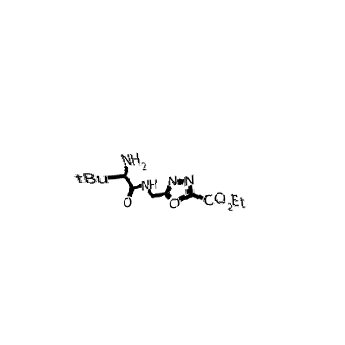 CCOC(=O)c1nnc(CNC(=O)C(N)C(C)(C)C)o1